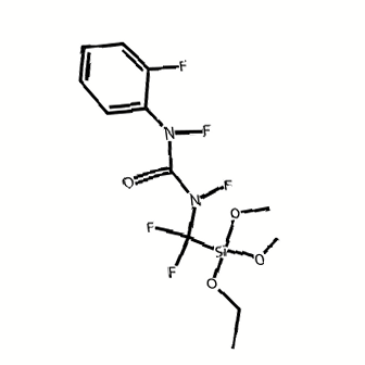 CCO[Si](OC)(OC)C(F)(F)N(F)C(=O)N(F)c1ccccc1F